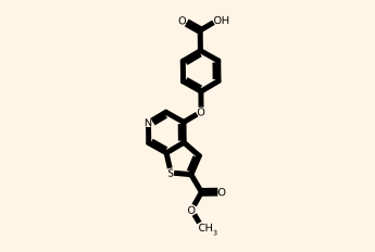 COC(=O)c1cc2c(Oc3ccc(C(=O)O)cc3)cncc2s1